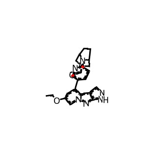 CCOc1cc(-c2ccc(N3C4CCC3CN(C=O)C4)nc2)c2c3cn[nH]c3nn2c1